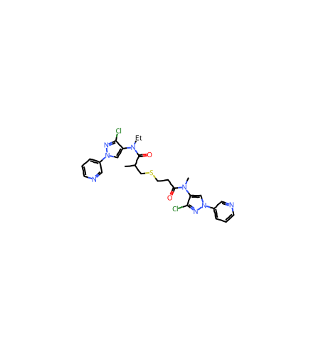 CCN(C(=O)C(C)CSCCC(=O)N(C)c1cn(-c2cccnc2)nc1Cl)c1cn(-c2cccnc2)nc1Cl